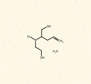 C=CCC(CO)N(CC)CCO.O